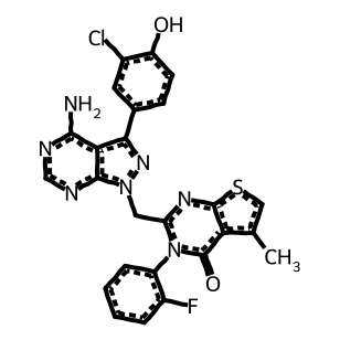 Cc1csc2nc(Cn3nc(-c4ccc(O)c(Cl)c4)c4c(N)ncnc43)n(-c3ccccc3F)c(=O)c12